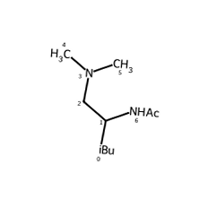 CCC(C)C(CN(C)C)NC(C)=O